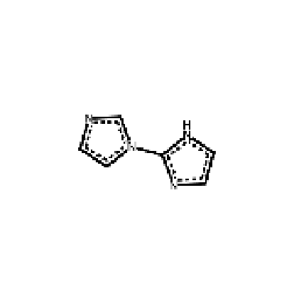 [c]1c[nH]c(-n2ccnc2)n1